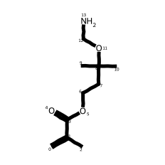 C=C(C)C(=O)OCCC(C)(C)OCN